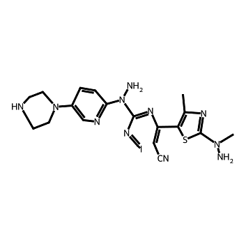 Cc1nc(N(C)N)sc1C(=C\C#N)/N=C(\N=C/I)N(N)c1ccc(N2CCNCC2)cn1